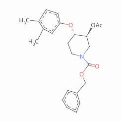 CC(=O)O[C@H]1CN(C(=O)OCc2ccccc2)CC[C@@H]1Oc1ccc(C)c(C)c1